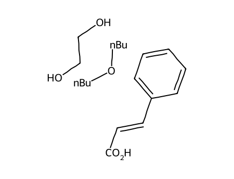 CCCCOCCCC.O=C(O)C=Cc1ccccc1.OCCO